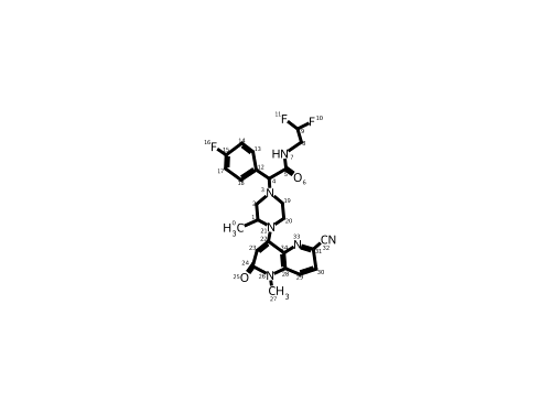 CC1CN(C(C(=O)NCC(F)F)c2ccc(F)cc2)CCN1c1cc(=O)n(C)c2ccc(C#N)nc12